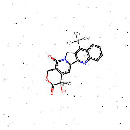 CC[C@@]1(O)C(=O)OCc2c1cc1n(c2=O)Cc2c-1nc1ccccc1c2[Si](C)(C)C